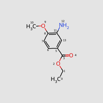 CCOC(=O)c1ccc(OC)c(N)c1